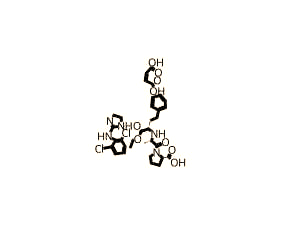 CCOC(=O)[C@H](CCc1ccccc1)N[C@@H](C)C(=O)N1CCC[C@H]1C(=O)O.Clc1cccc(Cl)c1NC1=NCCN1.O=C(O)/C=C\C(=O)O